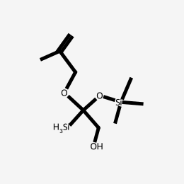 C=C(C)COC([SiH3])(CO)O[Si](C)(C)C